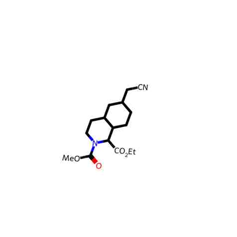 CCOC(=O)C1C2CCC(CC#N)CC2CCN1C(=O)OC